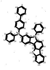 c1ccc(-c2ccc(N(c3ccccc3)c3ccc4c5c6sc7ccccc7c6ccc5n(-c5ccccc5)c4c3)cc2)cc1